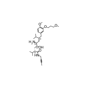 CC#CCNC(=O)[C@@H](C[C@H](O)[C@@H](N)C[C@H](Cc1ccc(OC)c(OCCCOC)c1)C(C)C)C(C)C